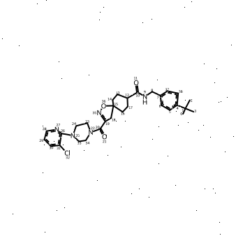 CC(C)(C)c1ccc(CNC(=O)C2CCC3(CC2)CC(C(=O)N2CCN(c4ncccc4Cl)CC2)=NO3)cc1